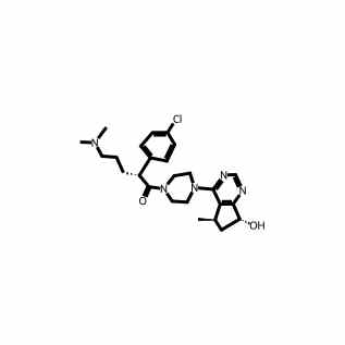 C[C@@H]1C[C@@H](O)c2ncnc(N3CCN(C(=O)[C@H](CCCN(C)C)c4ccc(Cl)cc4)CC3)c21